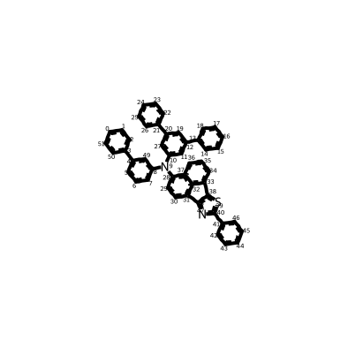 c1ccc(-c2cccc(N(c3cc(-c4ccccc4)cc(-c4ccccc4)c3)c3ccc4c5c(cccc35)-c3sc(-c5ccccc5)nc3-4)c2)cc1